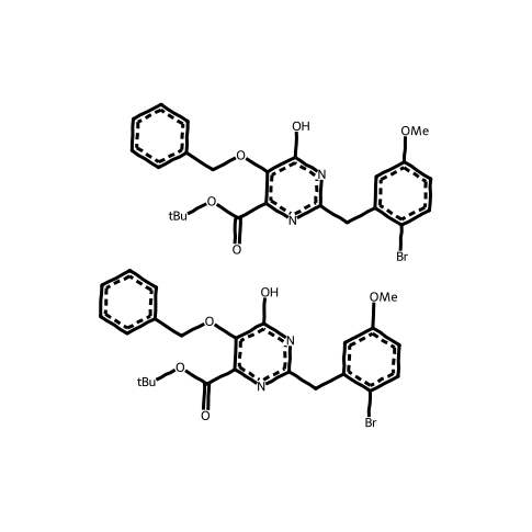 COc1ccc(Br)c(Cc2nc(O)c(OCc3ccccc3)c(C(=O)OC(C)(C)C)n2)c1.COc1ccc(Br)c(Cc2nc(O)c(OCc3ccccc3)c(C(=O)OC(C)(C)C)n2)c1